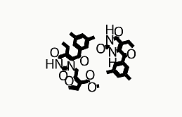 CCc1c(C(=O)c2cc(C)cc(C)c2)[nH]c(=O)[nH]c1=O.CCc1c(C(=O)c2cc(C)cc(C)c2)n(Cc2occc2C(=O)OC)c(=O)[nH]c1=O